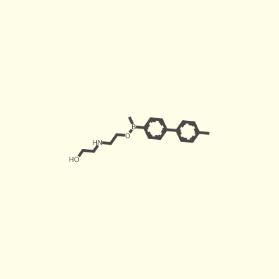 CB(OCCNCCO)c1ccc(-c2ccc(C)cc2)cc1